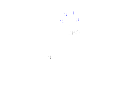 Cc1cc(CN2N=NN(c3ccccc3)C2C=O)ccc1[N+](=O)[O-]